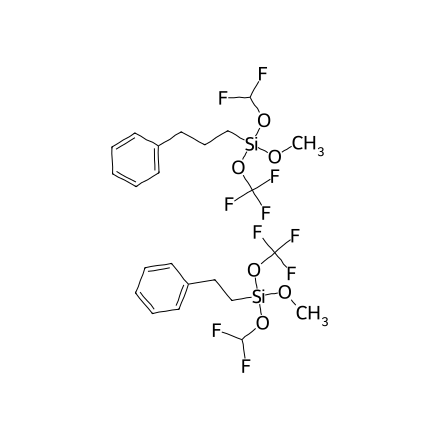 CO[Si](CCCc1ccccc1)(OC(F)F)OC(F)(F)F.CO[Si](CCc1ccccc1)(OC(F)F)OC(F)(F)F